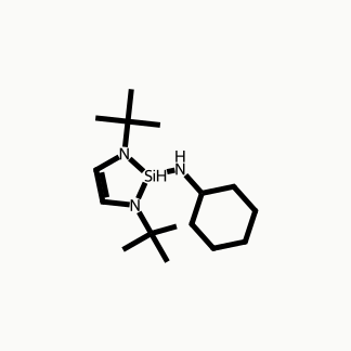 CC(C)(C)N1C=CN(C(C)(C)C)[SiH]1NC1CCCCC1